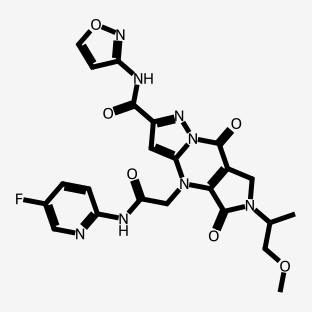 COCC(C)N1Cc2c(n(CC(=O)Nc3ccc(F)cn3)c3cc(C(=O)Nc4ccon4)nn3c2=O)C1=O